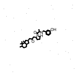 CC(NCc1cccc(O)c1)C(=O)N1CCCC1CC(=O)CC1CC2CCC(C)C(C)(C)C2(C)C1